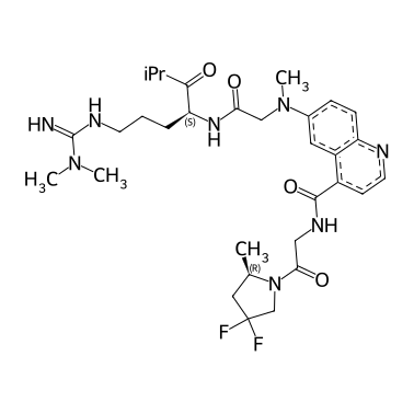 CC(C)C(=O)[C@H](CCCNC(=N)N(C)C)NC(=O)CN(C)c1ccc2nccc(C(=O)NCC(=O)N3CC(F)(F)C[C@H]3C)c2c1